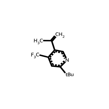 C=C(C)c1cnc(C(C)(C)C)cc1C(F)(F)F